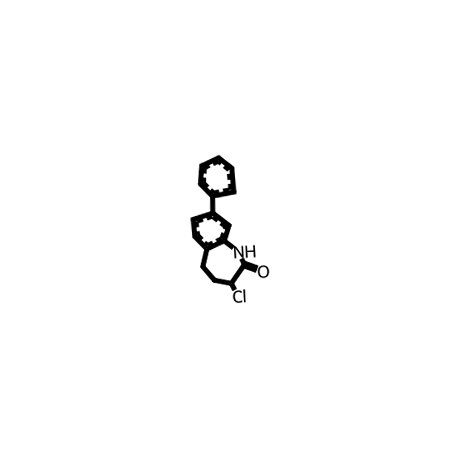 O=C1Nc2cc(-c3ccccc3)ccc2CCC1Cl